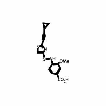 COc1cc(C(=O)O)ccc1NSc1csc(C#CC2CC2)n1